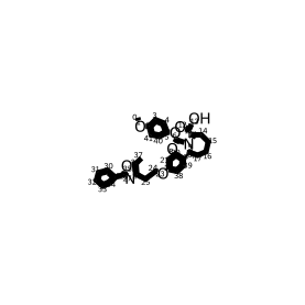 COc1ccc(OC(=O)N2[C@H](C(=O)O)CCCC[C@H]2c2ccc(OCCc3nc(-c4ccccc4)oc3C)cc2)cc1